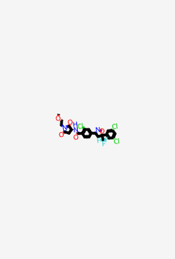 COCCN1C(=O)C[C@@H](NC(=O)c2ccc(C3=NOC(c4cc(Cl)cc(Cl)c4)(C(F)(F)F)C3)cc2Cl)C1=O